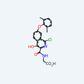 Cc1cccc(C)c1Oc1ccc2c(O)c(C(=O)NCC(=O)O)nc(Cl)c2c1